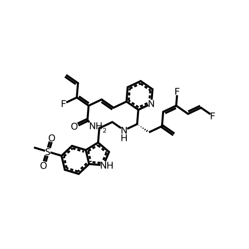 C=C/C(F)=C(\C=C\c1cccnc1[C@H](CC(=C)/C=C(F)\C=C\F)NCCc1c[nH]c2ccc(S(C)(=O)=O)cc12)C(N)=O